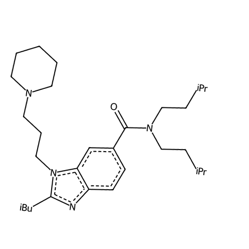 CCC(C)c1nc2ccc(C(=O)N(CCC(C)C)CCC(C)C)cc2n1CCCN1CCCCC1